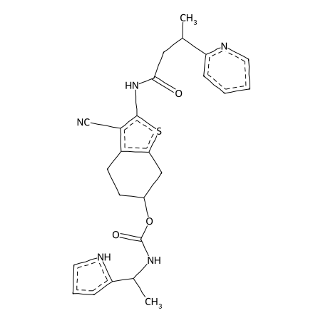 CC(CC(=O)Nc1sc2c(c1C#N)CCC(OC(=O)NC(C)c1ccc[nH]1)C2)c1ccccn1